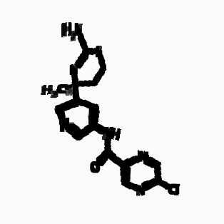 C[C@@]1(c2cncc(NC(=O)c3cnc(Cl)cn3)c2)CCSC(N)=N1